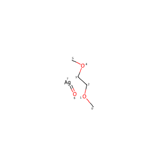 COCCOC.[O]=[Ag]